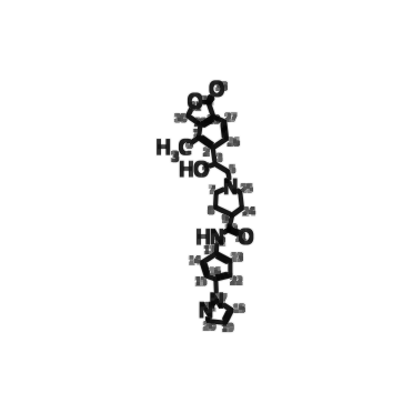 Cc1c(C(O)CN2CCC(C(=O)Nc3ccc(-n4cccn4)cc3)CC2)ccc2c1COC2=O